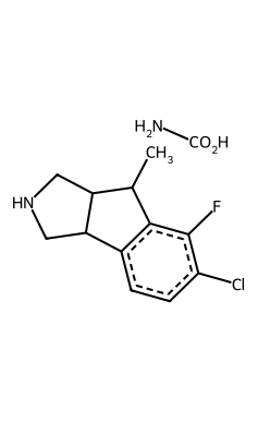 CC1c2c(ccc(Cl)c2F)C2CNCC12.NC(=O)O